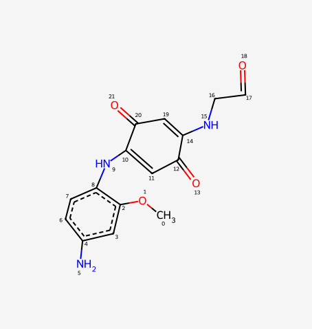 COc1cc(N)ccc1NC1=CC(=O)C(NCC=O)=CC1=O